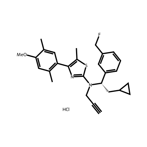 C#CCN(c1nc(-c2cc(C)c(OC)cc2C)c(C)s1)[C@@H](CC1CC1)c1cccc(CF)c1.Cl